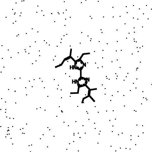 CC/C=C(/C)c1[nH]c(-c2nc(/C(C)=C(/C)CC)c(CC)[nH]2)nc1CC